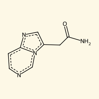 NC(=O)Cc1cnc2ccncn12